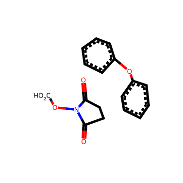 O=C(O)ON1C(=O)CCC1=O.c1ccc(Oc2ccccc2)cc1